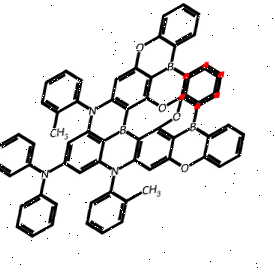 Cc1ccccc1N1c2cc(N(c3ccccc3)c3ccccc3)cc3c2B(c2c1cc1c4c2Oc2ccccc2B4c2ccccc2O1)c1c(cc2c4c1Oc1ccccc1B4c1ccccc1O2)N3c1ccccc1C